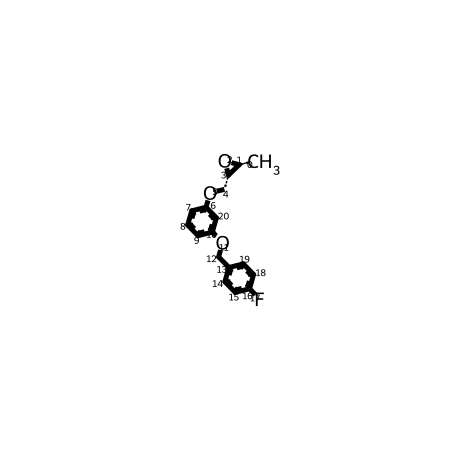 C[C@H]1O[C@H]1COc1cccc(OCc2ccc(F)cc2)c1